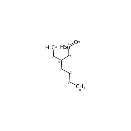 CCCCC(CC)[CH2][SnH]=[O]